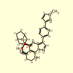 Cn1ccc(-c2ccc(-c3cnn4c5c(c(C6(C)CC7CCC(C6)N7C(=O)CO)nc34)C(=O)CCN5)cn2)n1